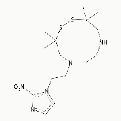 CC1(C)CNCCN(CCn2ccnc2[N+](=O)[O-])CC(C)(C)SS1